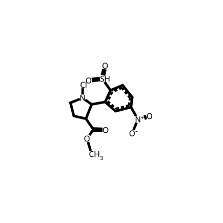 COC(=O)C1CCN(Cl)C1c1cc([N+](=O)[O-])ccc1[SH](=O)=O